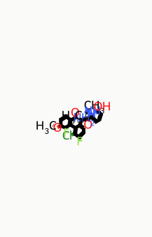 CNC[C@]1(c2cccc(O)n2)Oc2cc(F)c(Cl)c(C3=C(C(N)=O)C=CC(OC)C3F)c2[C@@H]1C